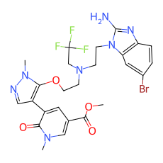 COC(=O)c1cc(-c2cnn(C)c2OCCN(CCn2c(N)nc3ccc(Br)cc32)CC(F)(F)F)c(=O)n(C)c1